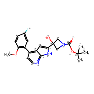 COc1ccc(F)cc1-c1ccnc2[nH]c(C3(O)CN(C(=O)OC(C)(C)C)C3)cc12